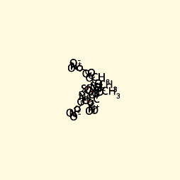 CCOP(OCC)(OCC)=C(C(=O)OCc1ccc([N+](=O)[O-])cc1)N1C(=O)C(C(C)OC(=O)OCc2ccc([N+](=O)[O-])cc2)C1CC(=O)SC1CCN(C(=O)OCc2ccc([N+](=O)[O-])cc2)C1